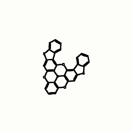 c1cc2c3c(c1)Oc1cc4sc5ccccc5c4c4c1B3c1c(cc3sc5ccccc5c3c1O4)O2